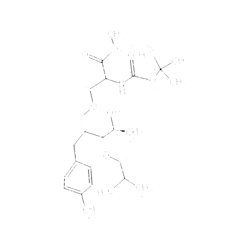 COC(=O)C(COC[C@@H](Cc1ccc(C)cc1)[C@@H](OCC(C)C)[C@H](C)O)NC(=O)OC(C)(C)C